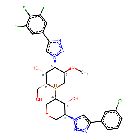 CO[C@H]1C[SH]([C@@H]2COC[C@H](n3cc(-c4cccc(Cl)c4)nn3)[C@H]2O)[C@H](CO)[C@H](O)[C@@H]1n1cc(-c2cc(F)c(F)c(F)c2)nn1